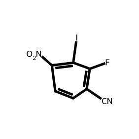 N#Cc1ccc([N+](=O)[O-])c(I)c1F